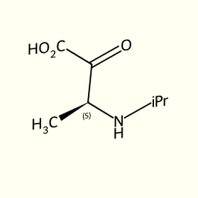 CC(C)N[C@@H](C)C(=O)C(=O)O